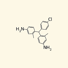 Cc1cc(N)ccc1C(c1ccc(Cl)cc1)c1ccc(N)cc1C